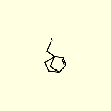 BrCC12C=CC(CC1)C2